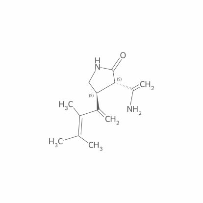 C=C(N)[C@H]1C(=O)NC[C@@H]1C(=C)C(C)=C(C)C